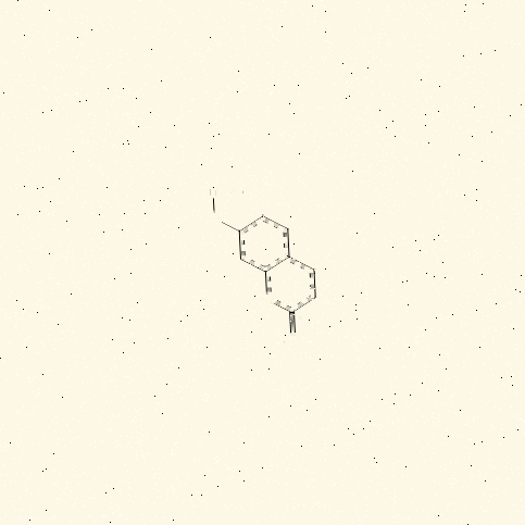 [CH2]CCCCCOc1ccc2ccc(=O)oc2c1